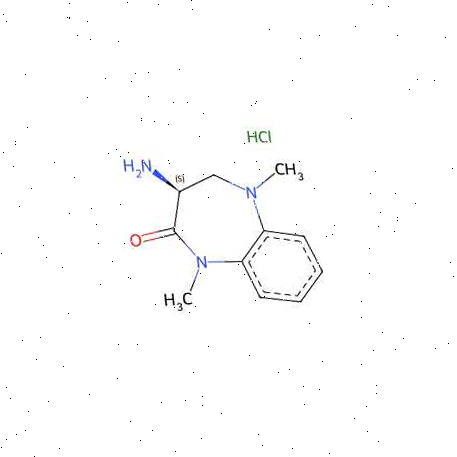 CN1C[C@H](N)C(=O)N(C)c2ccccc21.Cl